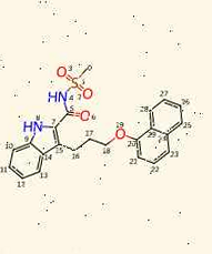 CS(=O)(=O)NC(=O)c1[nH]c2ccccc2c1CCCOc1cccc2ccccc12